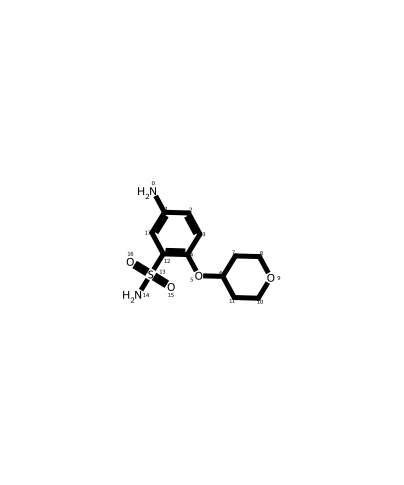 Nc1ccc(OC2CCOCC2)c(S(N)(=O)=O)c1